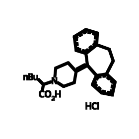 CCCCC(C(=O)O)N1CCC(=C2c3ccccc3CCc3ccccc32)CC1.Cl